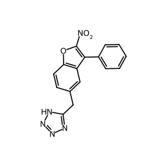 O=[N+]([O-])c1oc2ccc(Cc3nnn[nH]3)cc2c1-c1ccccc1